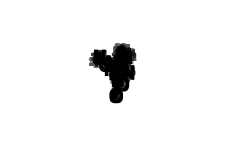 COC/C=C/C(=O)N1CCN(c2nc(OC[C@@H]3CCCN3C)nc3c2CC2(CC2)N(c2cccc4cccc(C)c24)C3)C[C@@H]1CC#N